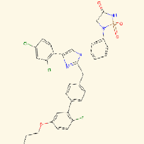 CCCOc1ccc(F)c(-c2ccc(Cc3nc(-c4ccc(Cl)cc4Cl)cn3-c3cccc(N4CC(=O)NS4(=O)=O)c3)cc2)c1